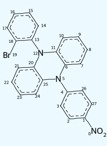 O=[N+]([O-])c1ccc(N2c3ccccc3N(c3ccccc3Br)c3ccccc32)cc1